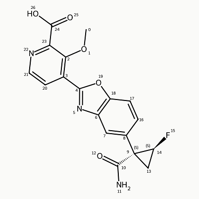 COc1c(-c2nc3cc([C@]4(C(N)=O)C[C@@H]4F)ccc3o2)ccnc1C(=O)O